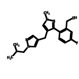 CC(C)Cn1cc(Cc2cn(C)nc2-c2ccc(F)cc2CO)cn1